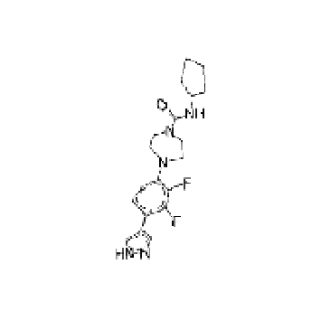 O=C(NC1CCCC1)N1CCN(c2ccc(-c3cn[nH]c3)c(F)c2F)CC1